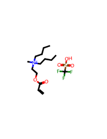 C=CC(=O)OCC[N+](C)(CCCC)CCCC.O=S(=O)(O)C(F)(F)F